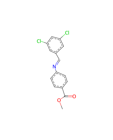 COC(=O)c1ccc(/N=C/c2cc(Cl)cc(Cl)c2)cc1